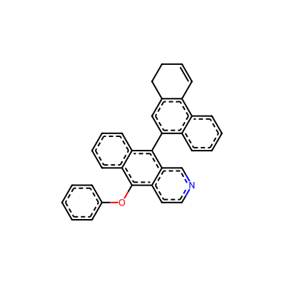 C1=Cc2c(cc(-c3c4ccccc4c(Oc4ccccc4)c4ccncc34)c3ccccc23)CC1